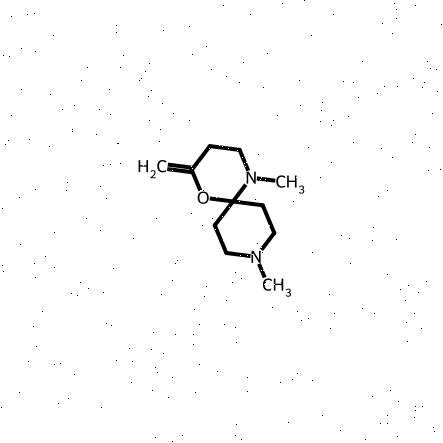 C=C1CCN(C)C2(CCN(C)CC2)O1